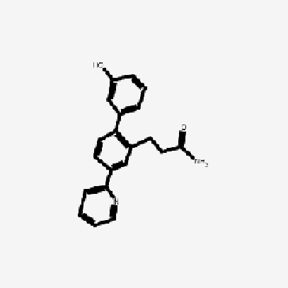 NC(=O)CCc1cc(-c2ccccn2)ccc1-c1cccc(O)c1